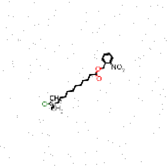 C[Si](C)(Cl)CCCCCCCCCCC(=O)OCc1ccccc1[N+](=O)[O-]